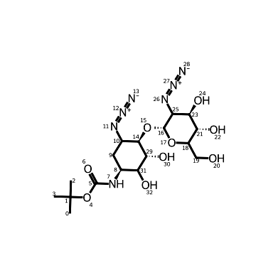 CC(C)(C)OC(=O)N[C@H]1CC(N=[N+]=[N-])[C@@H](O[C@H]2OC(CO)[C@@H](O)[C@H](O)C2N=[N+]=[N-])[C@H](O)C1O